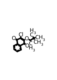 CC(OC1=C(Cl)C(=O)c2ccccc2C1=O)C(C)(C)C